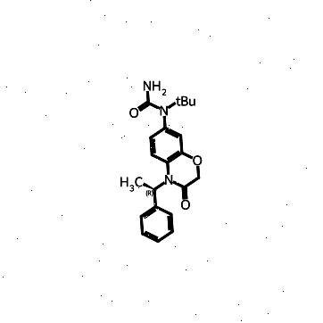 C[C@H](c1ccccc1)N1C(=O)COc2cc(N(C(N)=O)C(C)(C)C)ccc21